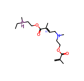 C=C(C)C(=O)OCCN(C)C/C=C(\C)C(=O)OCC[PH](C)(C)CC